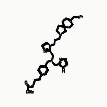 COC(=O)CCCc1ccc(CN(Cc2ncc[nH]2)Cc2nccn2CCCN2CCC3(CCN(CC(C)C)CC3)C2)cc1